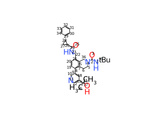 CC(C)(C)NC(=O)N1CCc2c(-c3cncc(C(C)(C)O)c3)ccc(CNC(=O)C3C[C@@H]3c3ccccc3)c2C1